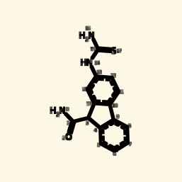 NC(=O)C1c2c[c]ccc2-c2ccc(NC(N)=S)cc21